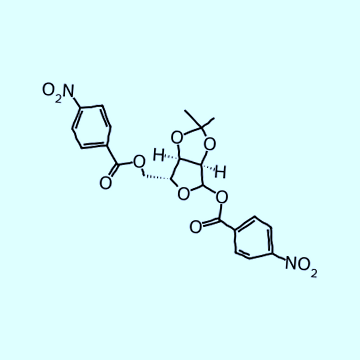 CC1(C)O[C@@H]2[C@@H](COC(=O)c3ccc([N+](=O)[O-])cc3)OC(OC(=O)c3ccc([N+](=O)[O-])cc3)[C@@H]2O1